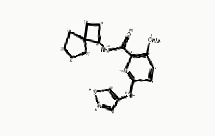 COc1ccc(Nc2cnsc2)nc1C(=O)NC1CCC12CCCC2